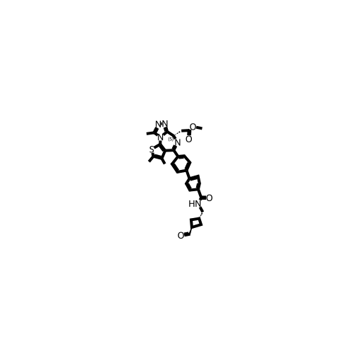 COC(=O)C[C@@H]1N=C(c2ccc(-c3ccc(C(=O)NC[C@H]4C[C@H](C=O)C4)cc3)cc2)c2c(sc(C)c2C)-n2c(C)nnc21